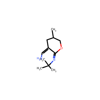 CC1COC(=N/C(C)(C)C)/C(=C\N)C1